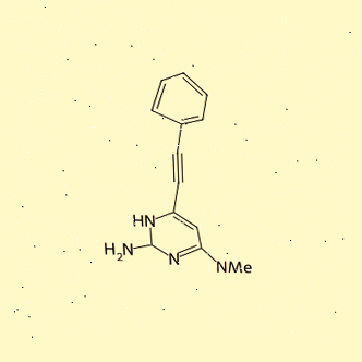 CNC1=NC(N)NC(C#Cc2ccccc2)=C1